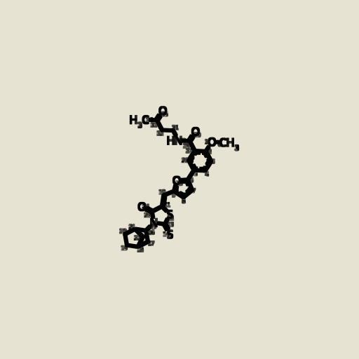 COc1ccc(-c2ccc(/C=C3\SC(=S)N(C4CC5CCC4C5)C3=O)o2)cc1C(=O)NCCC(C)=O